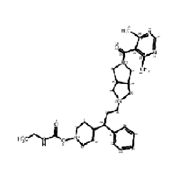 CCNC(=O)ON1CCC(C(CCN2CC3CN(C(=O)c4c(C)ncnc4C)CC3C2)c2ccccc2)CC1